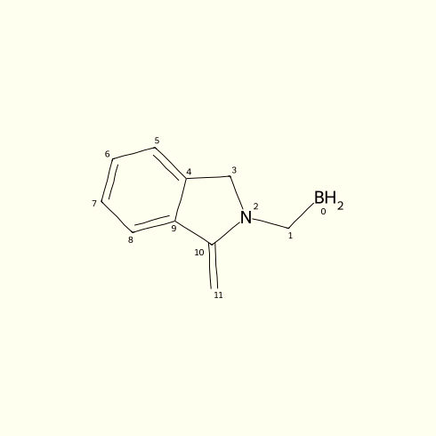 BCN1Cc2ccccc2C1=C